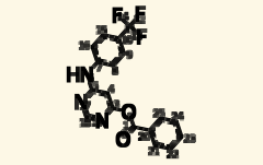 O=C(Oc1cc(Nc2ccc(C(F)(F)F)cc2)ncn1)c1ccccc1